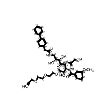 C#CCOCCOCCO[C@@H]1O[C@@H]([C@H](O)[C@H](O)CNC(=O)Cc2ccc(-c3ccccc3)cc2)[C@H](NC(=O)CO)[C@@H](NC(=O)c2cccc(OC)c2)[C@@H]1O